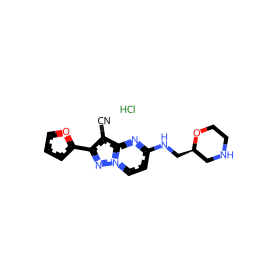 Cl.N#Cc1c(-c2ccco2)nn2ccc(NC[C@@H]3CNCCO3)nc12